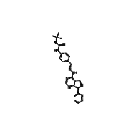 CC(C)(C)OC(=O)Nc1ccc(C=NNc2ncnc3c2cnn3-c2ccccn2)cn1